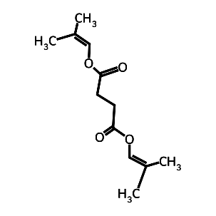 CC(C)=COC(=O)CCC(=O)OC=C(C)C